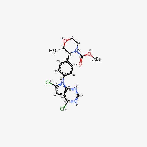 C[C@@H]1OCCN(C(=O)OC(C)(C)C)[C@H]1c1ccc(-n2c(Cl)cc3c(Cl)ncnc32)cc1